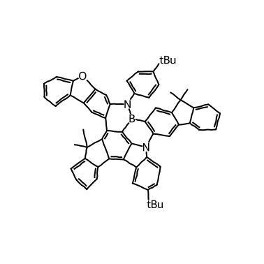 CC(C)(C)c1ccc(N2B3c4cc5c(cc4-n4c6ccc(C(C)(C)C)cc6c6c7c(c(c3c64)-c3cc4c(cc32)oc2ccccc24)C(C)(C)c2ccccc2-7)-c2ccccc2C5(C)C)cc1